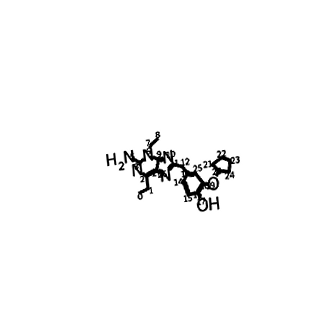 CCc1nc(N)n(CC)c2nc(Cc3ccc(O)c(OC4CCCC4)c3)nc1-2